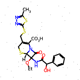 CCOC1(NC(=O)C(O)c2ccccc2)C(=O)N2C(C(=O)O)=C(CSc3nnc(C)s3)CS[C@H]21